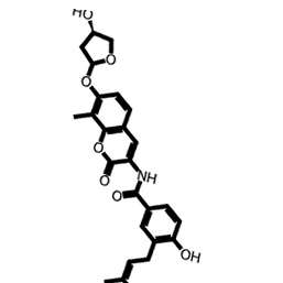 CC(C)=CCc1cc(C(=O)Nc2cc3ccc(OC4C[C@@H](O)CO4)c(C)c3oc2=O)ccc1O